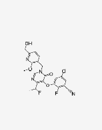 COc1nc(CO)ccc1Cn1cnc(C(C)F)c(Oc2cc(Cl)cc(C#N)c2F)c1=O